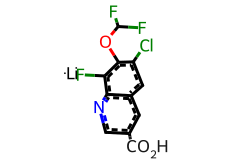 O=C(O)c1cnc2c(F)c(OC(F)F)c(Cl)cc2c1.[Li]